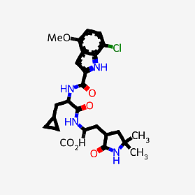 COc1ccc(Cl)c2[nH]c(C(=O)NC(CC3CC3)C(=O)NC(CC3CC(C)(C)NC3=O)C(=O)O)cc12